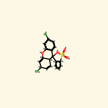 O=S1(=O)OC2(c3ccc(Cl)cc3OC3=CC(Cl)C=CC32)c2ccccc21